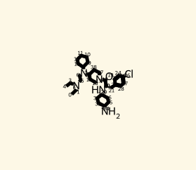 CCN(CC)CCN(C1CCCCC1)C1CCN(C(=O)[C@@H](Cc2ccc(Cl)cc2)NC2CCC(N)CC2)CC1